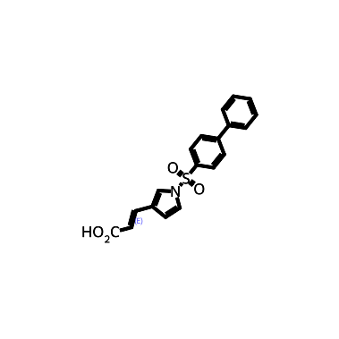 O=C(O)/C=C/c1ccn(S(=O)(=O)c2ccc(-c3ccccc3)cc2)c1